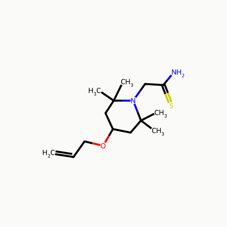 C=CCOC1CC(C)(C)N(CC(N)=S)C(C)(C)C1